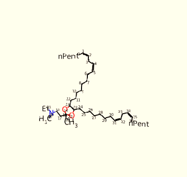 CCCCC/C=C\C/C=C\CCCCCCCC1OC(C)(CCN(C)CC)OC1CCCCCCC/C=C\C/C=C\CCCCC